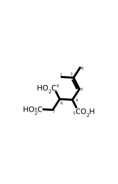 CC(C)=CC(C(=O)O)C(CC(=O)O)C(=O)O